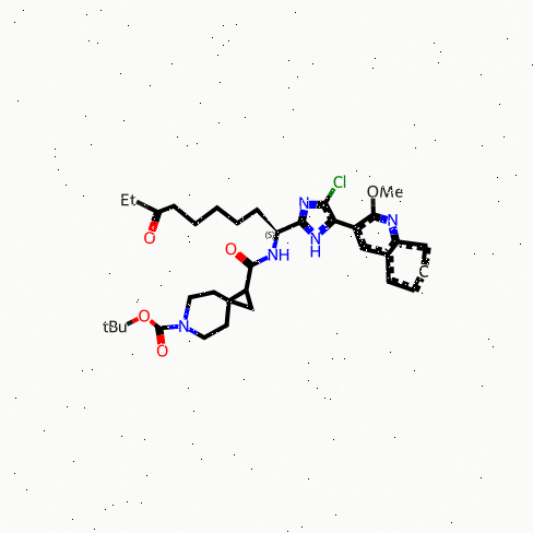 CCC(=O)CCCCC[C@H](NC(=O)C1CC12CCN(C(=O)OC(C)(C)C)CC2)c1nc(Cl)c(-c2cc3ccccc3nc2OC)[nH]1